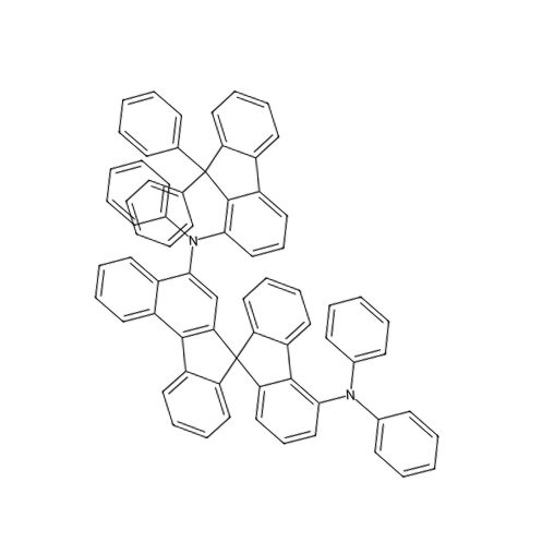 c1ccc(N(c2ccccc2)c2cccc3c2-c2ccccc2C32c3ccccc3-c3c2cc(N(c2ccccc2)c2cccc4c2C(c2ccccc2)(c2ccccc2)c2ccccc2-4)c2ccccc32)cc1